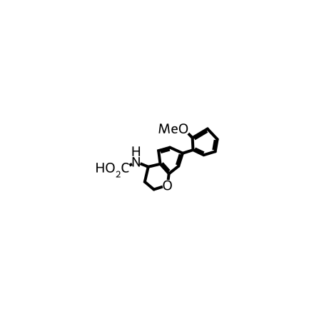 COc1ccccc1-c1ccc2c(c1)OCCC2NC(=O)O